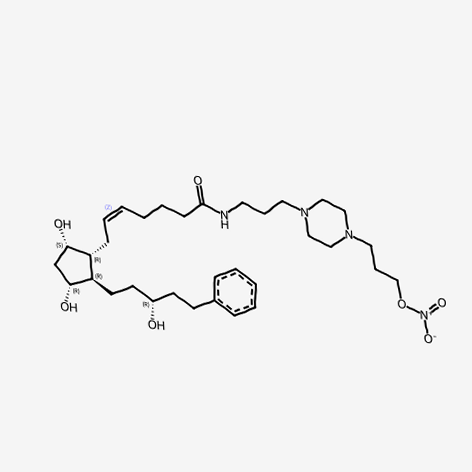 O=C(CCC/C=C\C[C@@H]1[C@@H](CC[C@@H](O)CCc2ccccc2)[C@H](O)C[C@@H]1O)NCCCN1CCN(CCCO[N+](=O)[O-])CC1